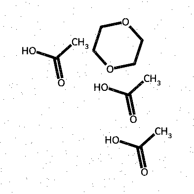 C1COCCO1.CC(=O)O.CC(=O)O.CC(=O)O